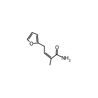 CC(=CCc1ccco1)C(N)=O